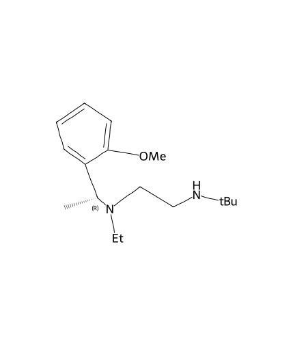 CCN(CCNC(C)(C)C)[C@H](C)c1ccccc1OC